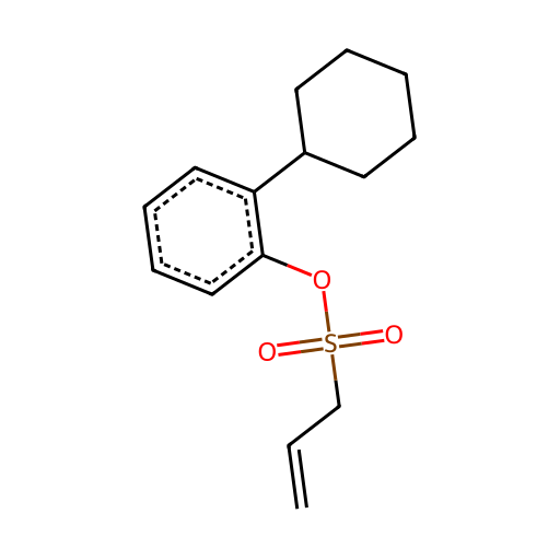 C=CCS(=O)(=O)Oc1ccccc1C1CCCCC1